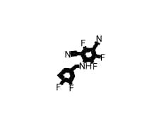 N#Cc1c(F)c(F)c(NCc2ccc(F)c(F)c2)c(C#N)c1F